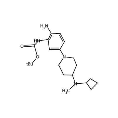 CN(C1CCC1)C1CCN(c2ccc(N)c(NC(=O)OC(C)(C)C)c2)CC1